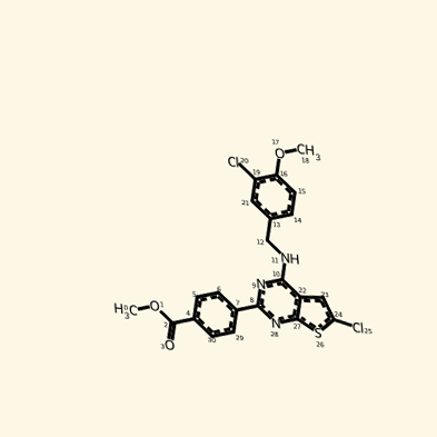 COC(=O)c1ccc(-c2nc(NCc3ccc(OC)c(Cl)c3)c3cc(Cl)sc3n2)cc1